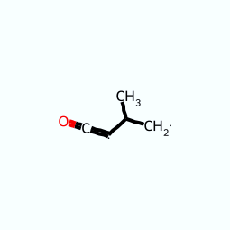 [CH2]C(C)[C]=C=O